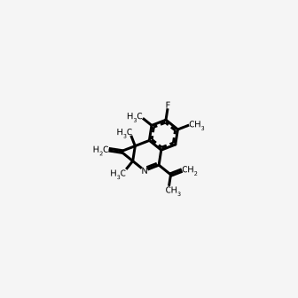 C=C(C)C1=NC2(C)C(=C)C2(C)c2c1cc(C)c(F)c2C